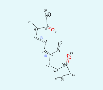 C=C/C(=C\C=C\C(C)C(=O)N=O)CC1CCCC1=O